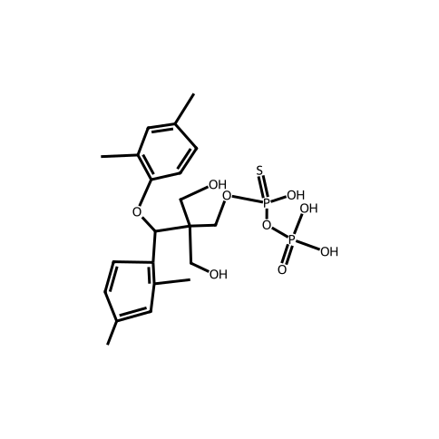 Cc1ccc(OC(c2ccc(C)cc2C)C(CO)(CO)COP(O)(=S)OP(=O)(O)O)c(C)c1